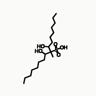 CCCCCCCC(O)C(C)(C(O)CCCCCCC)S(=O)(=O)O